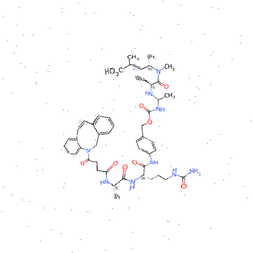 C/C(=C\[C@H](C(C)C)N(C)C(=O)[C@@H](NC(C)NC(=O)OCc1ccc(NC(=O)[C@H](CCCNC(N)=O)NC(=O)[C@@H](NC(=O)CCC(=O)N2Cc3ccccc3/C=C\c3ccccc32)C(C)C)cc1)C(C)(C)C)C(=O)O